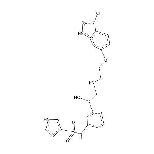 O=S(=O)(Nc1cccc(C(O)CNCCOc2ccc3c(Cl)n[nH]c3c2)c1)c1cn[nH]c1